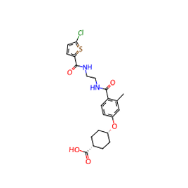 Cc1cc(O[C@H]2CC[C@@H](C(=O)O)CC2)ccc1C(=O)NCCNC(=O)c1ccc(Cl)s1